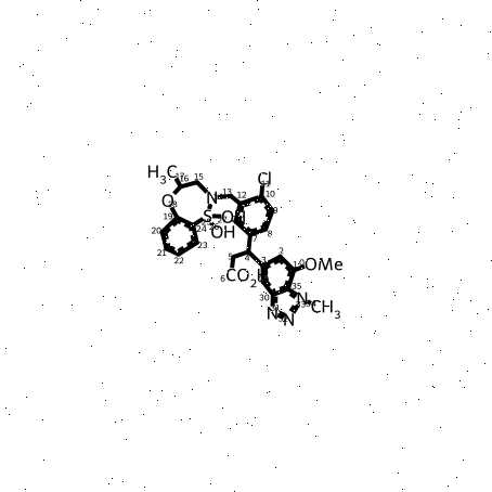 COc1cc(C(CC(=O)O)c2ccc(Cl)c(CN3CC(C)Oc4ccccc4S3(O)O)c2)cc2nnn(C)c12